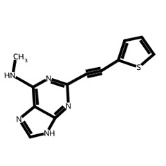 CNc1nc(C#Cc2cccs2)nc2[nH]cnc12